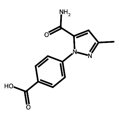 Cc1cc(C(N)=O)n(-c2ccc(C(=O)O)cc2)n1